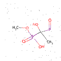 COP(=O)(O)C(C)(O)P=O